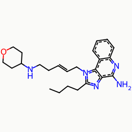 CCCCc1nc2c(N)nc3ccccc3c2n1C/C=C/CCNC1CCOCC1